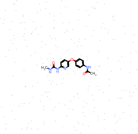 CNC(=O)Nc1ccc(Oc2ccc(NC(C)=O)cc2)cn1